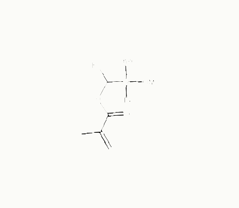 C=C(C)C(=O)OC(CC)[Si](CC)(CCC)OC